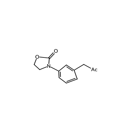 CC(=O)Cc1cccc(N2CCOC2=O)c1